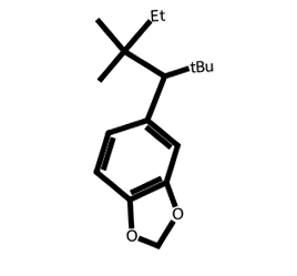 CCC(C)(C)C(c1ccc2c(c1)OCO2)C(C)(C)C